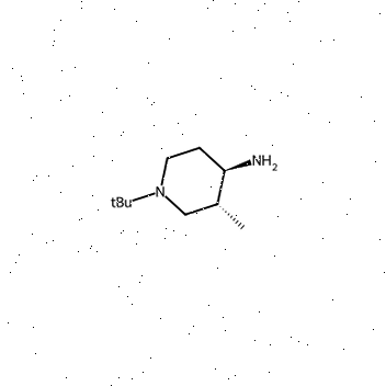 C[C@@H]1CN(C(C)(C)C)CC[C@H]1N